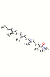 CCN(CC)C(=O)/C(C)=C/CC/C(C)=C/CC/C(C)=C/CC/C(C)=C/CCC(C)=O